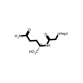 CCCCCCCCC(=O)N[C@@H](CCC(N)=O)C(=O)O